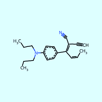 C#C/C(C#N)=C(\C=C/C)c1ccc(N(CCC)CCC)cc1